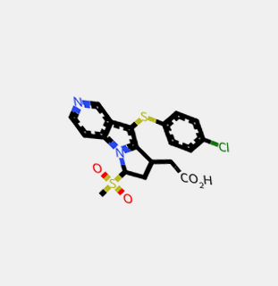 CS(=O)(=O)C1CC(CC(=O)O)c2c(Sc3ccc(Cl)cc3)c3cnccc3n21